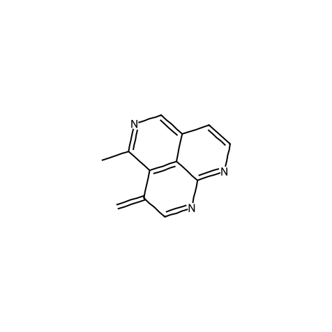 C=c1cnc2nccc3cnc(C)c1c32